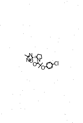 Cc1noc([C@@H]2CCCN2C(=O)C(C)(C)Oc2ccc(Cl)cc2)n1